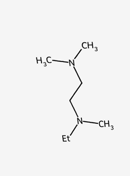 [CH2]CN(C)CCN(C)C